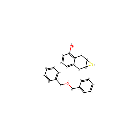 Oc1cccc2c1CC1SC1C2.c1ccc(COCc2ccccc2)cc1